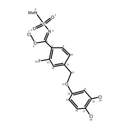 CNS(=O)(=O)N=C(OCl)c1ccc(COc2ccc(Cl)c(Cl)c2)cc1F